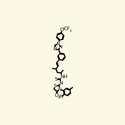 Cc1ccc(C(C)C)c(N2C(=O)CS/C2=N\C(=S)NC(C)CC(C)/C=C/c2cccc(-c3ncn(-c4ccc(OC(F)(F)F)cc4)n3)c2)c1